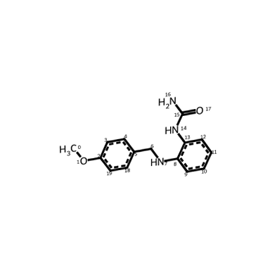 COc1ccc(CNc2ccccc2NC(N)=O)cc1